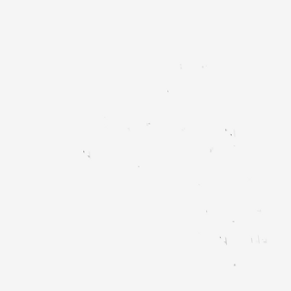 CCCCC1(N(C)C)CC=C(c2[nH]c3ccccc3c2CCc2ccncc2)CC1